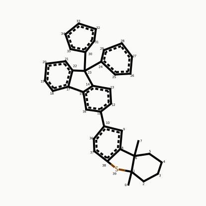 CC12CCCCC1(C)c1cc(-c3ccc4c(c3)-c3ccccc3C4(c3ccccc3)c3ccccc3)ccc1S2